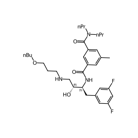 CCCCOCCCNC[C@@H](O)[C@H](Cc1cc(F)cc(F)c1)NC(=O)c1cc(C)cc(C(=O)N(CCC)CCC)c1